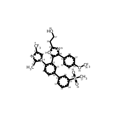 Cc1nc(C(F)(F)F)cn1-c1ccc(-c2cccc(S(C)(=O)=O)c2)cc1-c1oc(CCO)nc1-c1ccc(OC(F)(F)F)cc1